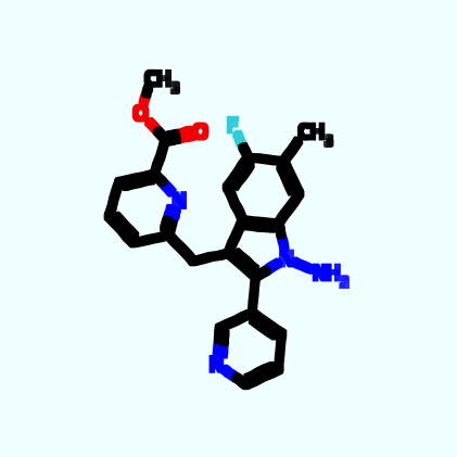 COC(=O)c1cccc(Cc2c(-c3cccnc3)n(N)c3cc(C)c(F)cc23)n1